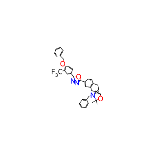 CC1(C)OC[C@@]2(CCc3ccc(-c4nnc(-c5ccc(OCc6ccccc6)c(C(F)(F)F)c5)o4)cc3C2)N1Cc1ccccc1